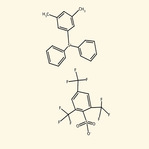 Cc1cc(C)cc([S+](c2ccccc2)c2ccccc2)c1.O=S(=O)([O-])c1c(C(F)(F)F)cc(C(F)(F)F)cc1C(F)(F)F